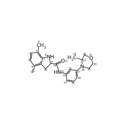 Cc1ccc(F)c2c1NC(C(=O)Nc1cccc(N3CCOCC3C)c1)C2